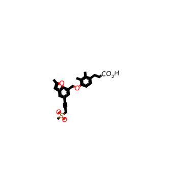 Cc1cc2cc(C#CCS(C)(=O)=O)cc(COc3ccc(CCC(=O)O)c(C)c3C)c2o1